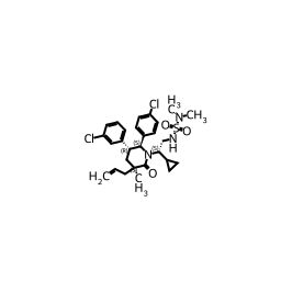 C=CC[C@@]1(C)C[C@H](c2cccc(Cl)c2)[C@@H](c2ccc(Cl)cc2)N([C@H](CNS(=O)(=O)N(C)C)C2CC2)C1=O